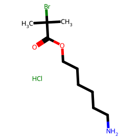 CC(C)(Br)C(=O)OCCCCCCN.Cl